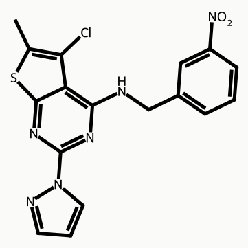 Cc1sc2nc(-n3cccn3)nc(NCc3cccc([N+](=O)[O-])c3)c2c1Cl